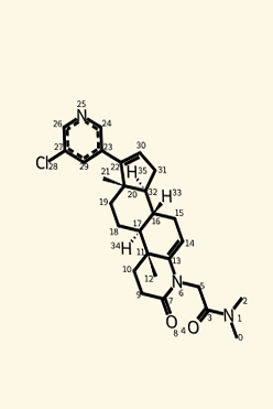 CN(C)C(=O)CN1C(=O)CC[C@@]2(C)C1=CC[C@@H]1[C@@H]2CC[C@]2(C)C(c3cncc(Cl)c3)=CC[C@@H]12